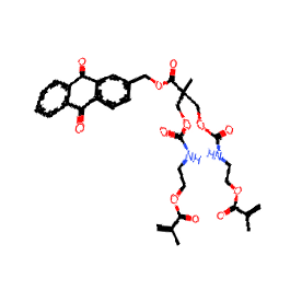 C=C(C)C(=O)OCCNC(=O)OCC(C)(COC(=O)NCCOC(=O)C(=C)C)C(=O)OCc1ccc2c(c1)C(=O)c1ccccc1C2=O